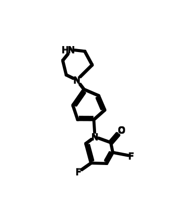 O=c1c(F)cc(F)cn1-c1ccc(N2CCNCC2)cc1